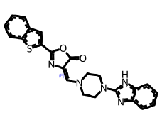 O=C1OC(c2cc3ccccc3s2)=N/C1=C/N1CCN(c2nc3ccccc3[nH]2)CC1